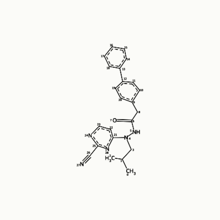 CC(C)CN(NC(=O)Cc1ccc(-c2ccccc2)cc1)c1ccnc(C#N)n1